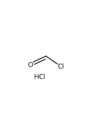 Cl.O=CCl